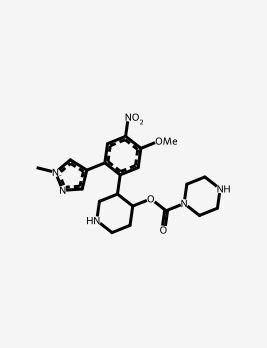 COc1cc(C2CNCCC2OC(=O)N2CCNCC2)c(-c2cnn(C)c2)cc1[N+](=O)[O-]